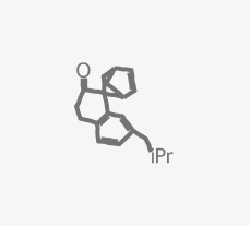 CC(C)Cc1ccc2c(c1)C1(CC3C=CC1C3)C(=O)CC2